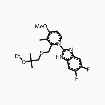 CCOC(C)(C)CSCc1c(C)c(OC)cc[n+]1-c1nc2cc(F)c(F)cc2[nH]1